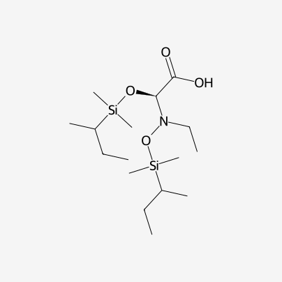 CCC(C)[Si](C)(C)O[C@@H](C(=O)O)N(CC)O[Si](C)(C)C(C)CC